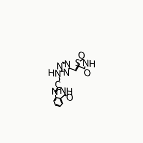 O=C1NC(=O)/C(=C/c2ncnc(NCCc3nc4ccccc4c(=O)[nH]3)n2)S1